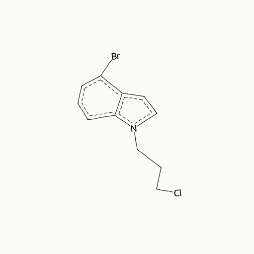 ClCCCn1ccc2c(Br)cccc21